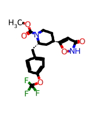 COC(=O)N1CC[C@H](c2cc(=O)[nH]o2)C[C@@H]1Cc1ccc(OC(F)(F)F)cc1